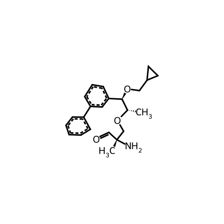 C[C@H](OC[C@](C)(N)C=O)[C@H](OCC1CC1)c1cccc(-c2ccccc2)c1